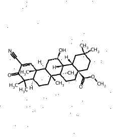 COC(=O)[C@]12CCC(C)(C)C[C@H]1[C@H]1[C@H](O)C[C@@H]3[C@@]4(C)C=C(C#N)C(=O)C(C)(C)[C@@H]4CC[C@@]3(C)[C@]1(C)CC2